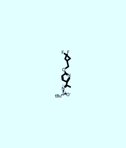 C/C(=N\[S@+]([O-])C(C)(C)C)c1ccc(OCC2CC(F)(F)C2)nc1